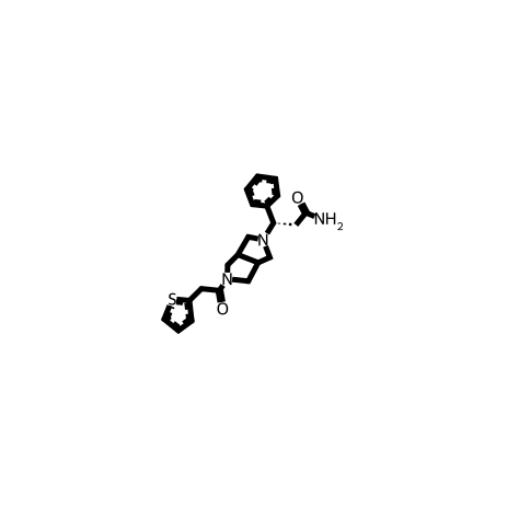 NC(=O)C[C@@H](c1ccccc1)N1CC2CN(C(=O)Cc3cccs3)CC2C1